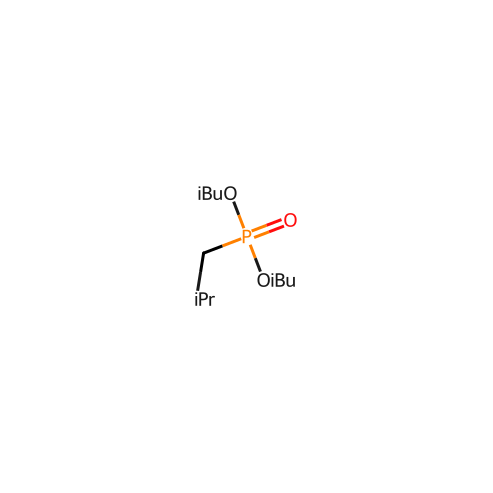 CC(C)COP(=O)(CC(C)C)OCC(C)C